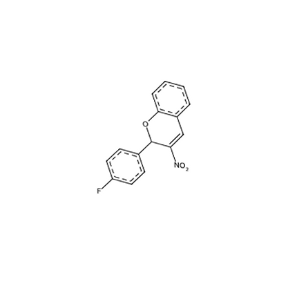 O=[N+]([O-])C1=Cc2ccccc2OC1c1ccc(F)cc1